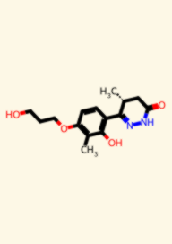 Cc1c(OCCCO)ccc(C2=NNC(=O)C[C@H]2C)c1O